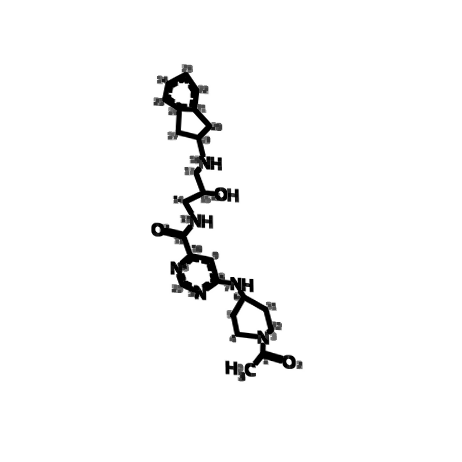 CC(=O)N1CCC(Nc2cc(C(=O)NCC(O)CNC3Cc4ccccc4C3)ncn2)CC1